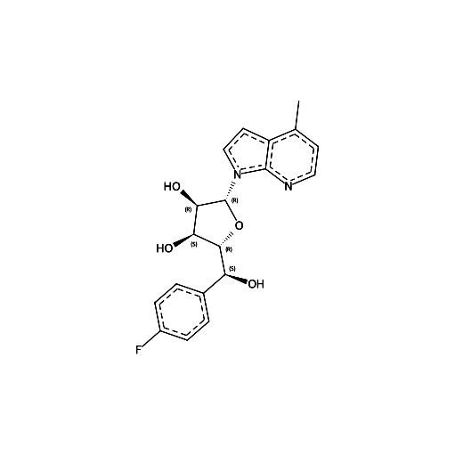 Cc1ccnc2c1ccn2[C@@H]1O[C@H]([C@@H](O)c2ccc(F)cc2)[C@@H](O)[C@H]1O